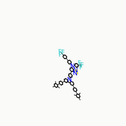 Cc1cc(C)c(-c2ccc(-c3ccc4c(c3)c3cc(-c5ccc(-c6c(C)cc(C)cc6C)cc5)ccc3n4-c3ccc(-c4ccc(N(c5ccc(-c6ccc(C(F)(F)F)cc6)cc5)c5ccc(C(F)(F)F)cc5)c5nsnc45)cc3)cc2)c(C)c1